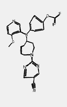 COc1ccncc1N(c1ccc(OC(F)F)cc1)C1CCN(c2ncc(C#N)cn2)CC1